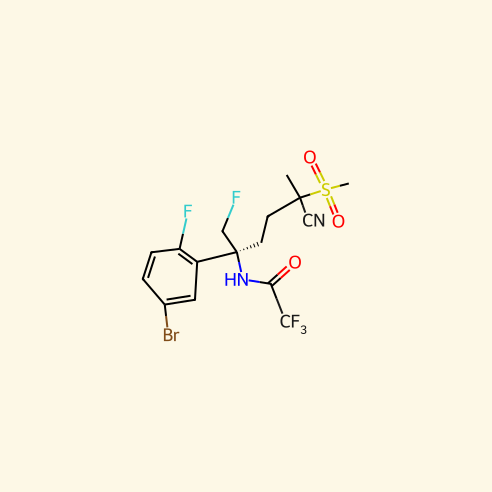 CC(C#N)(CC[C@](CF)(NC(=O)C(F)(F)F)c1cc(Br)ccc1F)S(C)(=O)=O